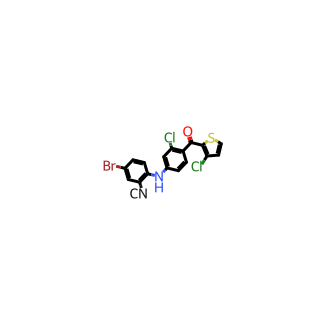 N#Cc1cc(Br)ccc1Nc1ccc(C(=O)c2sccc2Cl)c(Cl)c1